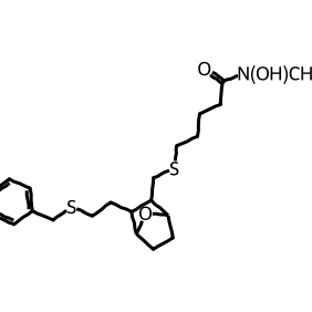 CN(O)C(=O)CCCCSCC1C2CCC(O2)C1CCSCc1ccccc1